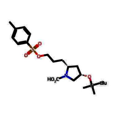 Cc1ccc(S(=O)(=O)OCCC[C@@H]2C[C@H](O[Si](C)(C)C(C)(C)C)CN2C(=O)O)cc1